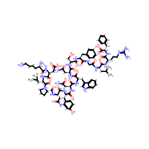 CC(C)C[C@H](NC(=O)CNC(=O)[C@H](Cc1ccccc1)NC(=O)[C@H](CO)NC(=O)[C@H](CC(N)=O)NC(=O)[C@H](Cc1c[nH]c2ccccc12)NC(=O)[C@H](CC(N)=O)NC(=O)[C@H](Cc1ccc(O)cc1)NC(=O)[C@H](CC(N)=O)NC(=O)[C@@H]1CCCN1C(=O)[C@H](CC(C)C)NC(=O)[C@H](CC(=O)O)NC(=O)[C@@H](N)CCCCN)C(=O)N[C@@H](CCCN=C(N)N)C(=O)N[C@@H](Cc1ccccc1)C(=O)O